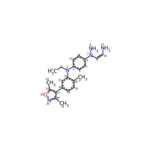 CCN(c1ccc(N(N)/C=C\N)cc1)c1cc(-c2c(C)noc2C)ccc1C